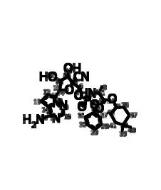 C[C@H](NP(=O)(OC[C@@]1(C#N)O[C@@H](c2ccc3c(N)ncnn23)[C@H](O)[C@@H]1O)Oc1ccccc1)C(=O)OC1CCC(C)(C)CC1